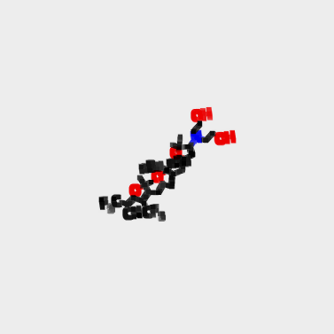 CCCCC1(CCCC)O/C(=C\C2=C(C(F)(F)F)C(=C(\C#N)C(F)(F)F)/OC2(C)C)C=C1/C=C1/C=C(N(CCO)CCO)C(C)(C)O1